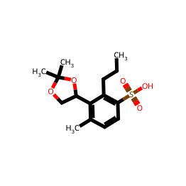 CCCc1c(S(=O)(=O)O)ccc(C)c1C1COC(C)(C)O1